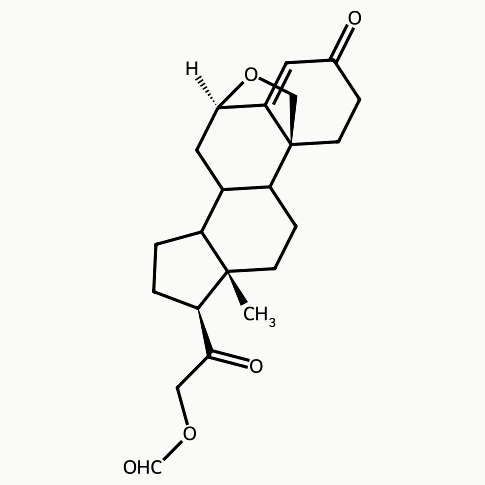 C[C@]12CCC3C(C[C@H]4OC[C@@]35CCC(=O)C=C45)C1CC[C@@H]2C(=O)COC=O